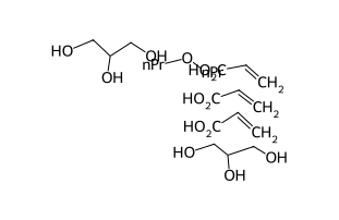 C=CC(=O)O.C=CC(=O)O.C=CC(=O)O.CCCOCCC.OCC(O)CO.OCC(O)CO